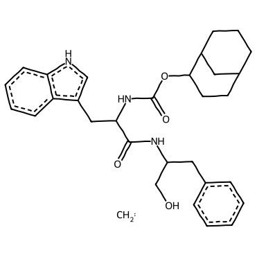 O=C(NC(Cc1c[nH]c2ccccc12)C(=O)NC(CO)Cc1ccccc1)OC1CCC2CCCC1C2.[CH2]